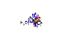 CCN1CCN(C2=NCCN2S(=O)(=O)c2cccc3nonc23)CC1